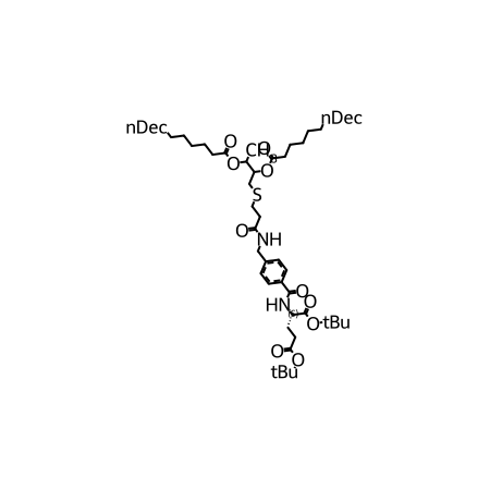 CCCCCCCCCCCCCCCC(=O)OC(C)C(CSCCC(=O)NCc1ccc(C(=O)N[C@@H](CCC(=O)OC(C)(C)C)C(=O)OC(C)(C)C)cc1)OC(=O)CCCCCCCCCCCCCCC